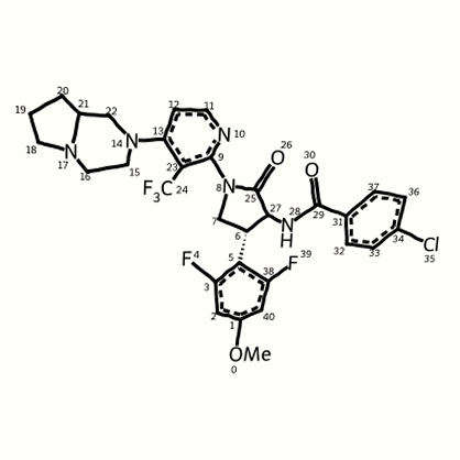 COc1cc(F)c([C@@H]2CN(c3nccc(N4CCN5CCCC5C4)c3C(F)(F)F)C(=O)C2NC(=O)c2ccc(Cl)cc2)c(F)c1